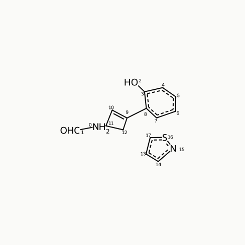 NC=O.Oc1ccccc1C1=CCC1.c1cnsc1